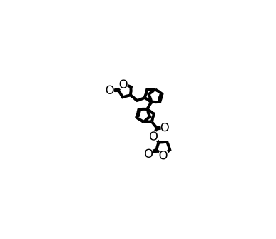 O=C1CC(CC2CC3C=CC2(C24C=CC(C2)C(C(=O)OC2CCOC2=O)C4)C3)CO1